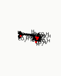 CCCC[C@H](NC(=O)[C@H](CC(=O)O)NC(=O)[C@H](CC(=O)O)NC(=O)[C@H](CC(=O)O)NC(=O)[C@H](CC(=O)O)NC(=O)[C@H](CC(=O)O)NC(=O)[C@H](CC(=O)O)NC(=O)CCCCCCCCOc1nc2cc(C(=O)O)ccc2c2cnccc12)C(=O)O